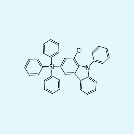 Clc1cc([Si](c2ccccc2)(c2ccccc2)c2ccccc2)cc2c3ccccc3n(-c3ccccc3)c12